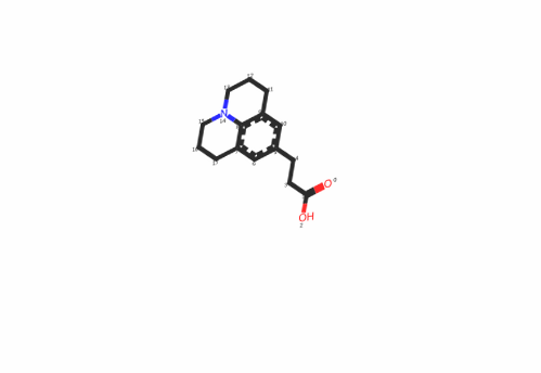 O=C(O)CCc1cc2c3c(c1)CCCN3CCC2